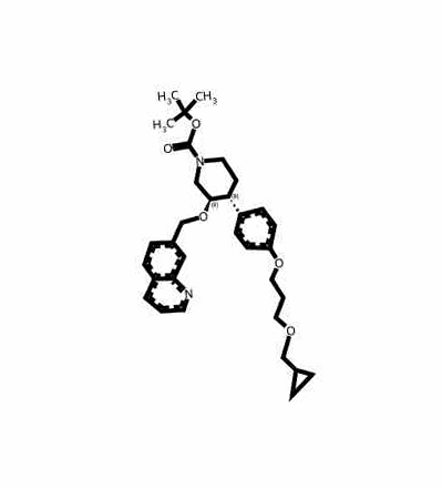 CC(C)(C)OC(=O)N1CC[C@H](c2ccc(OCCCOCC3CC3)cc2)[C@@H](OCc2ccc3cccnc3c2)C1